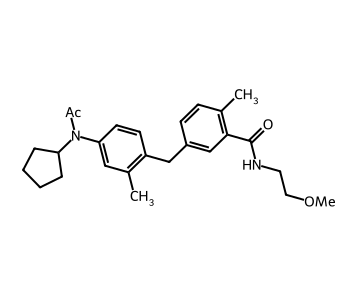 COCCNC(=O)c1cc(Cc2ccc(N(C(C)=O)C3CCCC3)cc2C)ccc1C